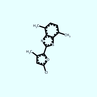 Cc1cc(Cl)oc1-c1nc2c(C)ccc(C)c2s1